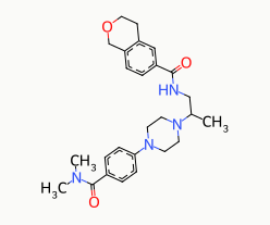 CC(CNC(=O)c1ccc2c(c1)CCOC2)N1CCN(c2ccc(C(=O)N(C)C)cc2)CC1